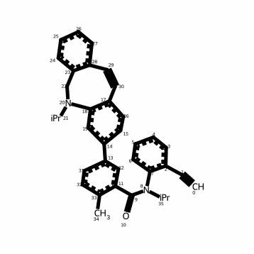 C#Cc1ccccc1N(C(=O)c1cc(-c2ccc3c(c2)N(C(C)C)Cc2ccccc2C#C3)ccc1C)C(C)C